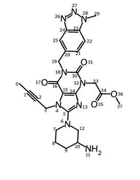 CC#CCn1c(N2CCCC(N)C2)nc2c1c(=O)n(Cc1ccc3c(c1)nnn3C)c(=O)n2CC(=O)OC